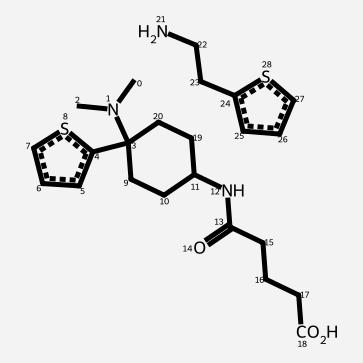 CN(C)C1(c2cccs2)CCC(NC(=O)CCCC(=O)O)CC1.NCCc1cccs1